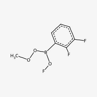 COOB(OF)c1cccc(F)c1F